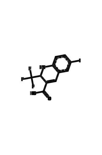 O=C(O)C1=Cc2cc(I)ccc2NC1C(F)(F)F